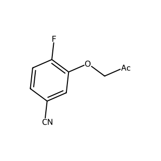 CC(=O)COc1cc(C#N)ccc1F